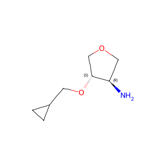 N[C@@H]1COC[C@H]1OCC1CC1